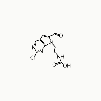 O=Cc1cc2cnc(Cl)nc2n1CCNC(=O)O